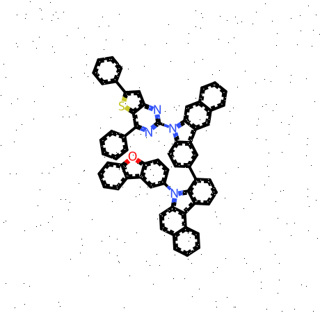 c1ccc(-c2cc3nc(-n4c5ccc(-c6cccc7c8c9ccccc9ccc8n(-c8ccc9oc%10ccccc%10c9c8)c67)cc5c5cc6ccccc6cc54)nc(-c4ccccc4)c3s2)cc1